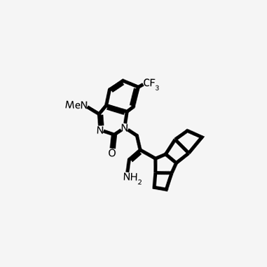 CNc1nc(=O)n(C/C(=C/N)C2C3CCC3C3C4CCC4C23)c2cc(C(F)(F)F)ccc12